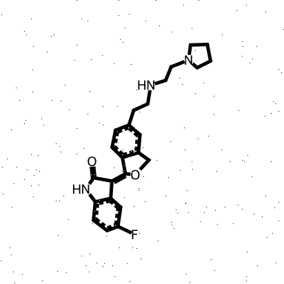 O=C1Nc2ccc(F)cc2C1=C1OCc2cc(CCNCCN3CCCC3)ccc21